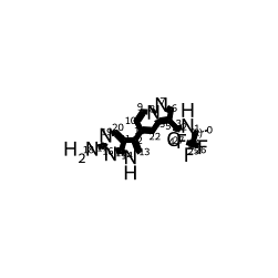 C[C@@H](NC(=O)c1cnn2ccc(-c3c[nH]c4nc(N)ncc34)cc12)C(F)(F)F